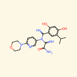 CC(C)c1cc(C(=N)N(C(=N)C(N)=O)c2ccc(N3CCOCC3)nc2)c(O)cc1O